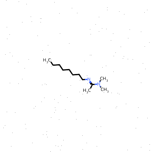 CCCCCCCC/N=C(\C)N(C)C